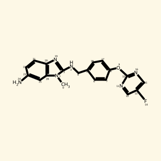 Cn1c(NCc2ccc(Oc3ncc(F)cn3)cc2)nc2ccc(N)cc21